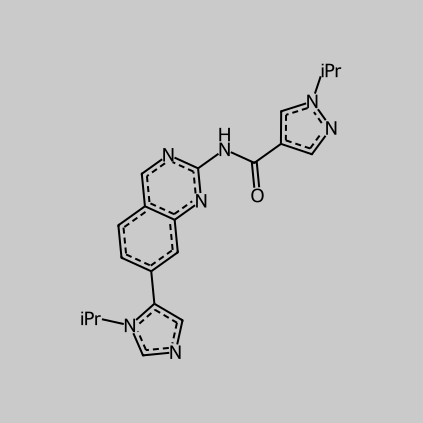 CC(C)n1cc(C(=O)Nc2ncc3ccc(-c4cncn4C(C)C)cc3n2)cn1